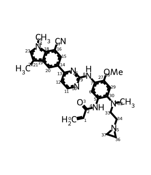 C=CC(=O)Nc1cc(Nc2nccc(-c3cc(C#N)c4c(c3)c(C)cn4C)n2)c(OC)cc1N(C)CCN1CC1